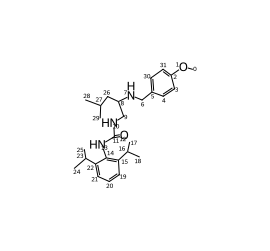 COc1ccc(CNC(CNC(=O)Nc2c(C(C)C)cccc2C(C)C)CC(C)C)cc1